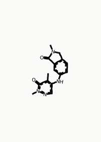 Cc1c(Nc2ccc3c(c2)C(=O)N(C)C3)cnn(C)c1=O